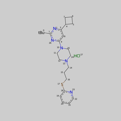 CC(C)(C)c1nc(C2CCC2)cc(N2CCN(CCCSc3ccccn3)CC2)n1.Cl